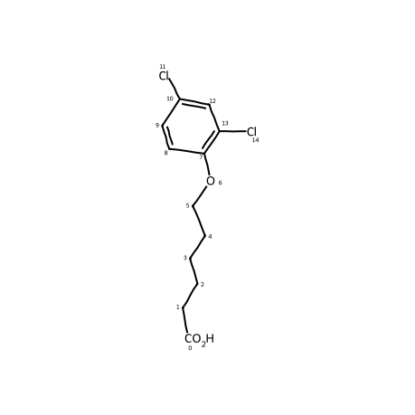 O=C(O)CCCCCOc1ccc(Cl)cc1Cl